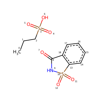 CCCS(=O)(=O)O.O=C1NS(=O)(=O)c2ccccc21